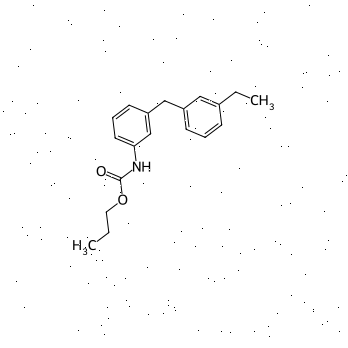 CCCOC(=O)Nc1cccc(Cc2cccc(CC)c2)c1